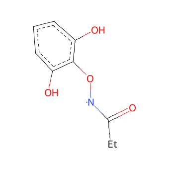 CCC(=O)[N]Oc1c(O)cccc1O